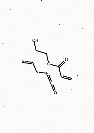 C=CC(=O)OCCO.C=CCN=C=O